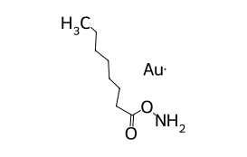 CCCCCCCC(=O)ON.[Au]